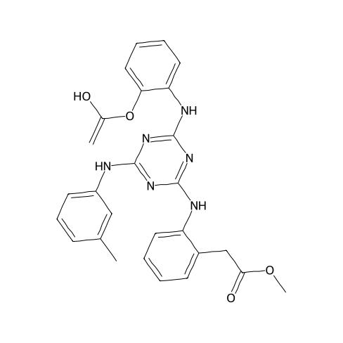 C=C(O)Oc1ccccc1Nc1nc(Nc2cccc(C)c2)nc(Nc2ccccc2CC(=O)OC)n1